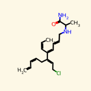 C=C/C=C\CC(=C\CCl)/C(/C=C\C)=C/C=C/CNC(C)C(N)=O